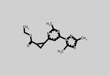 CCOC(=O)C1CC1c1cc(-n2nc(C)nc2C)nc(C)n1